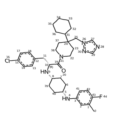 Cc1cc(N[C@H]2CC[C@@H](N[C@H](Cc3ccc(Cl)cc3)C(=O)N3CCC(Cn4cncn4)(C4CCCCC4)CC3)CC2)ccc1F